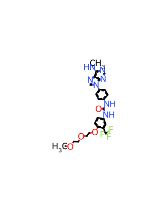 CNc1ncnc2c1ncn2-c1ccc(NC(=O)Nc2ccc(OCCOCCOC)c(C(F)(F)F)c2)cc1